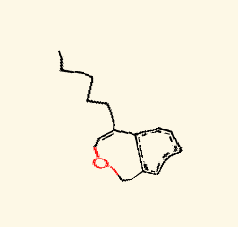 CCCCCC1=COCc2ccccc21